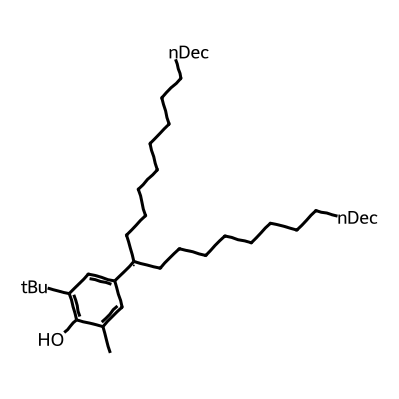 CCCCCCCCCCCCCCCCCC[C](CCCCCCCCCCCCCCCCCC)c1cc(C)c(O)c(C(C)(C)C)c1